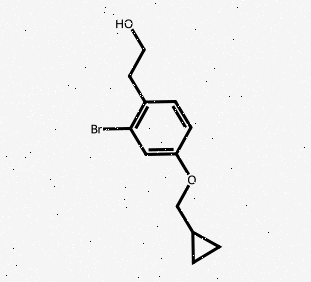 OCCc1ccc(OCC2CC2)cc1Br